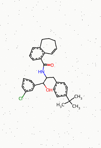 CC(C)(C)c1ccc(CC(NC(=O)c2cccc3c2C=CCCC3)C(O)c2cccc(Cl)c2)cc1